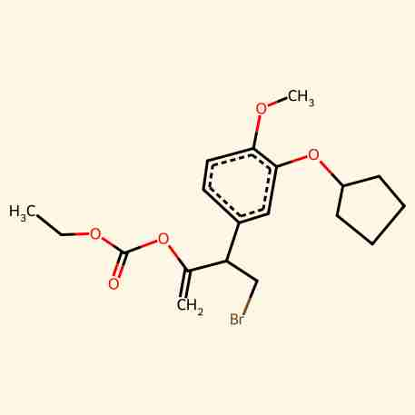 C=C(OC(=O)OCC)C(CBr)c1ccc(OC)c(OC2CCCC2)c1